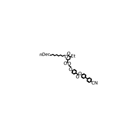 CCCCCCCCCCCCCCCCCCOC(=O)C(CC)CC(C)C(=O)OCCOc1ccc(C(=O)Oc2ccc(-c3ccc(C#N)cc3)cc2)cc1